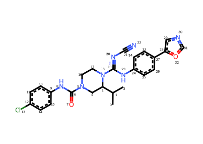 CC(C)C1CN(C(=O)Nc2ccc(Cl)cc2)CCN1/C(=N/C#N)Nc1ccc(-c2cnco2)cc1